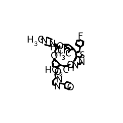 Cc1c2ccc(c1Cl)O[C@H](CN1CCN(C)CC1)COc1ccc(OCc3ccnc(C4CCOCC4)n3)c(c1)C[C@H](C(=O)O)Oc1ncnc3sc(-c4ccc(F)cc4)c-2c13